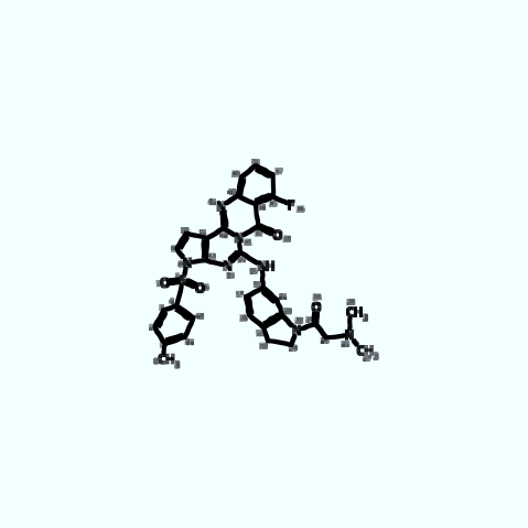 Cc1ccc(S(=O)(=O)n2ccc3c2nc(Nc2ccc4c(c2)N(C(=O)CN(C)C)CC4)n2c(=O)c4c(F)cccc4nc32)cc1